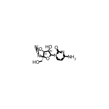 [N-]=[N+]=N[C@]1(CO)OC(n2ccc(N)nc2=O)[C@H](O)[C@@H]1O